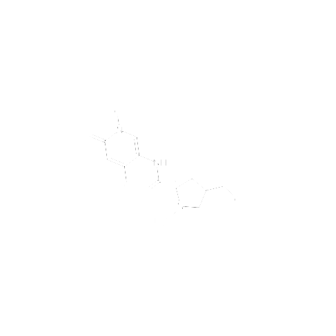 CCC1C[C@@H](C(=O)Nc2cn(C)c(=O)cc2Cl)N(C)C1